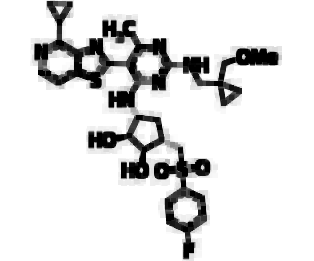 COCC1(CNc2nc(C)c(-c3nc4c(C5CC5)nccc4s3)c(N[C@@H]3C[C@H](CS(=O)(=O)c4ccc(F)cc4)[C@@H](O)[C@H]3O)n2)CC1